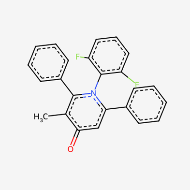 Cc1c(-c2ccccc2)n(-c2c(F)cccc2F)c(-c2ccccc2)cc1=O